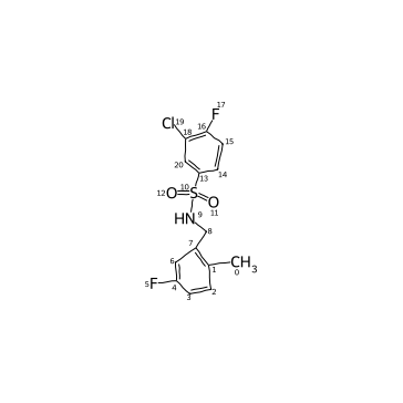 Cc1ccc(F)cc1CNS(=O)(=O)c1ccc(F)c(Cl)c1